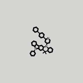 CC1(C)c2ccccc2N(c2ccnc(-c3ccc(-c4ccccc4)cc3)c2)c2cc3c4ccccc4n(-c4ccccc4)c3cc21